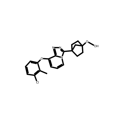 Cc1c(Cl)cccc1Oc1cccn2c(C34CCC(OO)(CC3)C4)nnc12